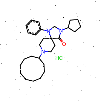 Cl.O=C1N(C2CCCC2)CN(c2ccccc2)C12CCN(C1CCCCCCCCC1)CC2